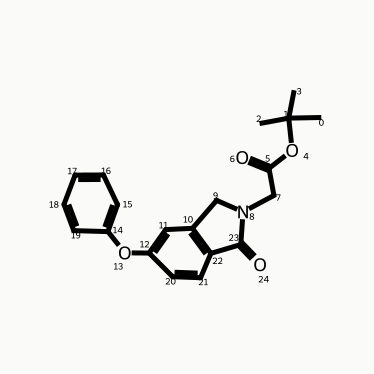 CC(C)(C)OC(=O)CN1Cc2cc(Oc3ccccc3)ccc2C1=O